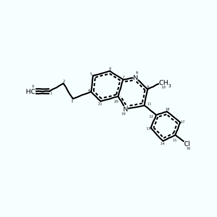 C#CCCc1ccc2nc(C)c(-c3ccc(Cl)cc3)nc2c1